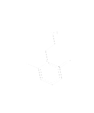 O=c1cccc(Cl)n1CCO